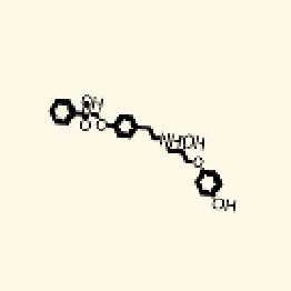 O=P(O)(COc1ccc(CCNC[C@H](O)COc2ccc(O)cc2)cc1)c1ccccc1